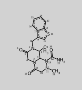 CC1C2N(CC(=O)N1Cc1csc3ccccc13)C(=O)CN(C)N2C(N)=O